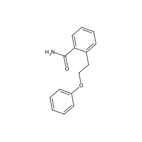 NC(=O)c1ccccc1CCOc1ccccc1